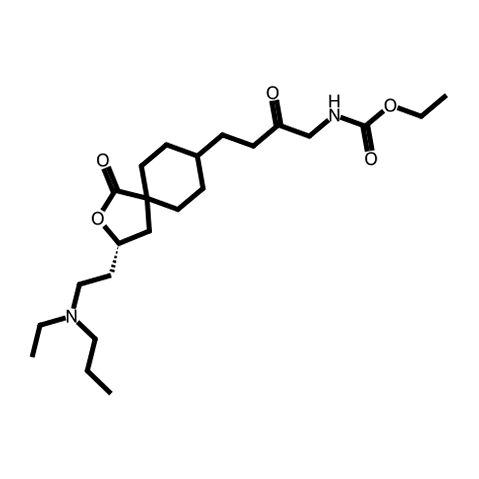 CCCN(CC)CC[C@H]1CC2(CCC(CCC(=O)CNC(=O)OCC)CC2)C(=O)O1